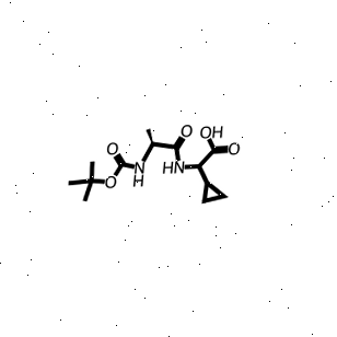 C[C@H](NC(=O)OC(C)(C)C)C(=O)NC(C(=O)O)C1CC1